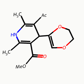 COC(=O)C1=C(C)NC(C)=C(C(C)=O)C1C1=COCCO1